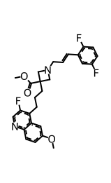 COC(=O)C1(CCCc2c(F)cnc3ccc(OC)cc23)CN(CC=Cc2cc(F)ccc2F)C1